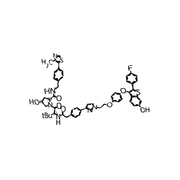 Cc1ncsc1-c1ccc(CNC(=O)[C@@H]2C[C@@H](O)CN2C(=O)[C@@H](NC(=O)Cc2ccc(-c3ccn(CCOc4ccc(Oc5c(-c6ccc(F)cc6)sc6cc(O)ccc56)cc4)n3)cc2)C(C)(C)C)cc1